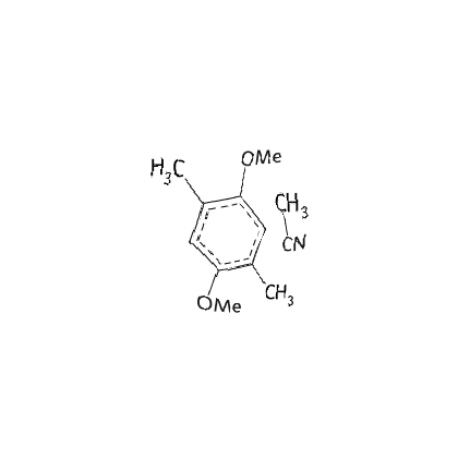 CC#N.COc1cc(C)c(OC)cc1C